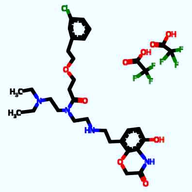 CCN(CC)CCN(CCNCCc1ccc(O)c2c1OCC(=O)N2)C(=O)CCOCCc1cccc(Cl)c1.O=C(O)C(F)(F)F.O=C(O)C(F)(F)F